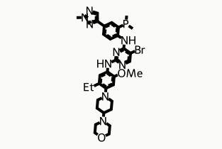 CCc1cc(Nc2ncc(Br)c(Nc3ccc(-c4cnn(C)n4)cc3P(C)C)n2)c(OC)cc1N1CCC(N2CCOCC2)CC1